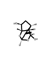 C=C1[C@H]2O[C@@H](O)[C@H]3[C@@H]1C[C@H](O)[C@@]3(C)O2